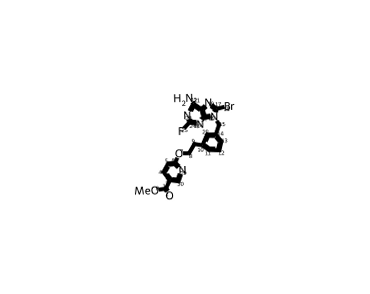 COC(=O)c1ccc(OCCc2cccc(Cn3c(Br)nc4c(N)nc(F)nc43)c2)nc1